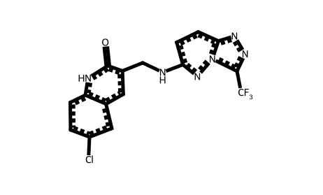 O=c1[nH]c2ccc(Cl)cc2cc1CNc1ccc2nnc(C(F)(F)F)n2n1